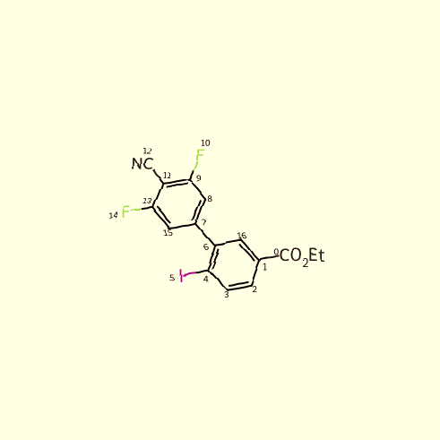 CCOC(=O)c1ccc(I)c(-c2cc(F)c(C#N)c(F)c2)c1